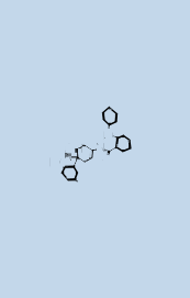 CN(C)C1(c2cccc(F)c2)CCC(NC(=O)c2ccccc2Oc2ccccc2)CC1